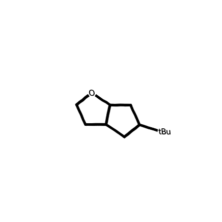 CC(C)(C)C1CC2CCOC2C1